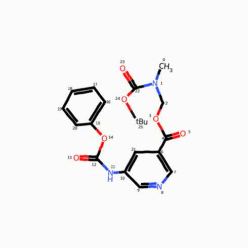 CN(COC(=O)c1cncc(NC(=O)Oc2ccccc2)c1)C(=O)OC(C)(C)C